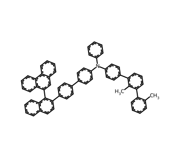 Cc1ccccc1-c1cccc(-c2ccc(N(c3ccccc3)c3ccc(-c4ccc(-c5ccc6ccccc6c5-c5cc6ccccc6c6ccccc56)cc4)cc3)cc2)c1C